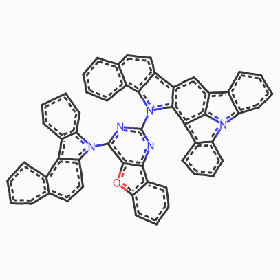 c1ccc2c(c1)ccc1c2c2ccccc2n1-c1nc(-n2c3c4ccccc4ccc3c3cc4c5ccccc5n5c6ccccc6c(c32)c45)nc2c1oc1ccccc12